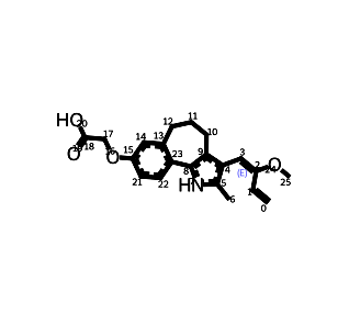 C=C/C(=C\c1c(C)[nH]c2c1CCCc1cc(OCC(=O)O)ccc1-2)OC